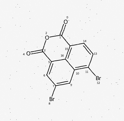 O=C1OC(=O)c2cc(Br)cc3c(Br)ccc1c23